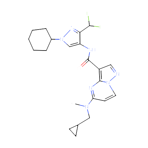 CN(CC1CC1)c1ccn2ncc(C(=O)Nc3cn(C4CCCCC4)nc3C(F)F)c2n1